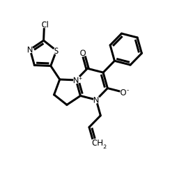 C=CCn1c([O-])c(-c2ccccc2)c(=O)[n+]2c1CCC2c1cnc(Cl)s1